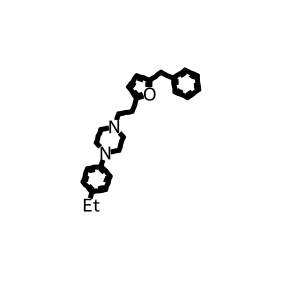 CCc1ccc(N2CCN(CCc3ccc(Cc4ccccc4)o3)CC2)cc1